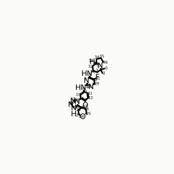 CC1(C)C[C@H](Nc2nc(Nc3ccc4c(c3)N3N=NNC3C3(CCOCC3)O4)ncc2F)C[C@@H]2CCCN21